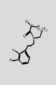 CC[C@@H](N)C(=O)N(CCc1cccc(F)c1F)CC(F)(F)F